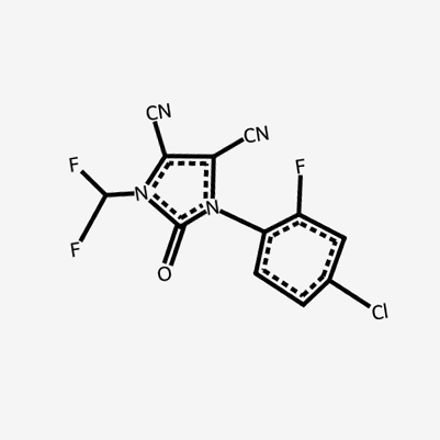 N#Cc1c(C#N)n(C(F)F)c(=O)n1-c1ccc(Cl)cc1F